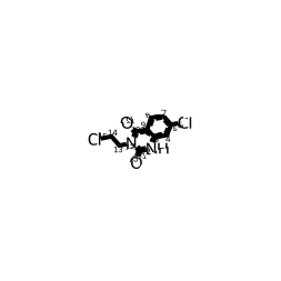 O=c1[nH]c2cc(Cl)ccc2c(=O)n1CCCl